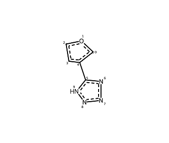 [c]1occc1-c1nnn[nH]1